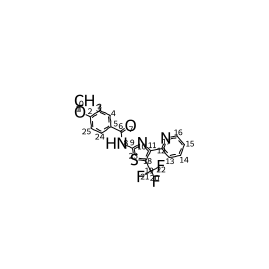 COc1ccc(C(=O)Nc2nc(-c3ccccn3)c(C(F)(F)F)s2)cc1